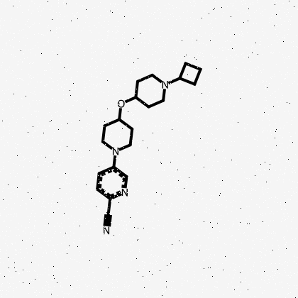 N#Cc1ccc(N2CCC(OC3CCN(C4CCC4)CC3)CC2)cn1